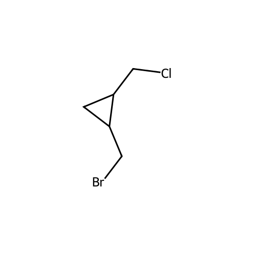 ClCC1CC1CBr